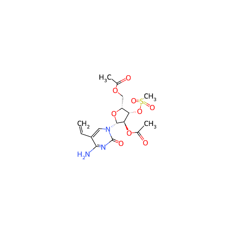 C=Cc1cn([C@@H]2O[C@H](COC(C)=O)[C@H](OS(C)(=O)=O)[C@H]2OC(C)=O)c(=O)nc1N